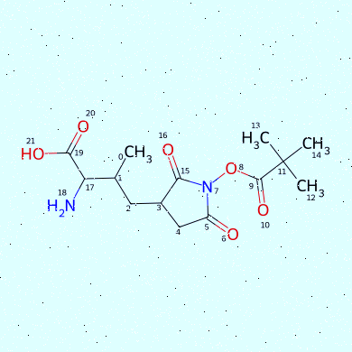 CC(CC1CC(=O)N(OC(=O)C(C)(C)C)C1=O)C(N)C(=O)O